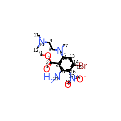 COC(=O)c1c(N(C)CCN(C)C)cc(Br)c([N+](=O)[O-])c1N